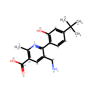 Cc1nc(-c2ccc(C(C)(C)C)cc2O)c(CN)cc1C(=O)O